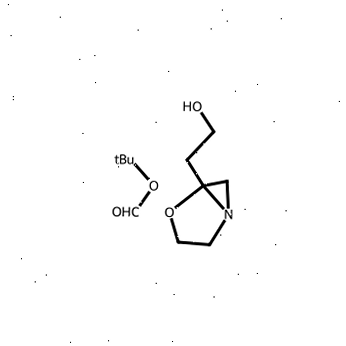 CC(C)(C)OC=O.OCCC12CN1CCO2